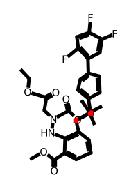 CCOC(=O)CN(Nc1c(COc2ccc(-c3cc(F)c(F)cc3F)cc2)cccc1C(=O)OC)C(=O)OC(C)(C)C